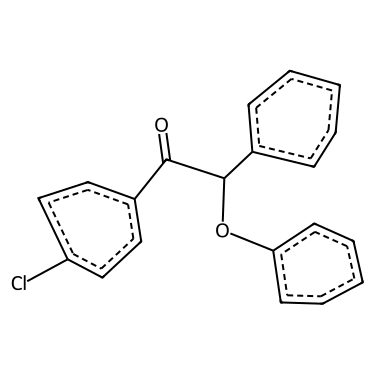 O=C(c1ccc(Cl)cc1)C(Oc1ccccc1)c1ccccc1